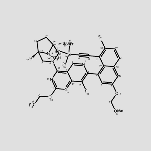 COCOc1cc(-c2ncc3c(N4C[C@@H]5CC[C@@](C(C)(C)C)(C4)N5C(=O)O)nc(OCC(F)(F)F)nc3c2F)c2c(C#C[Si](C(C)C)(C(C)C)C(C)C)c(F)ccc2c1